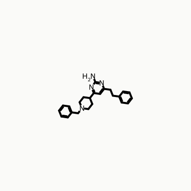 Nc1nc(CCc2ccccc2)cc(C2CCN(Cc3ccccc3)CC2)n1